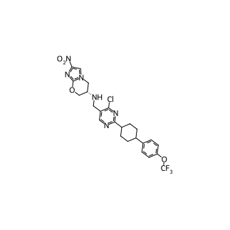 O=[N+]([O-])c1cn2c(n1)OC[C@@H](NCc1cnc(C3CCC(c4ccc(OC(F)(F)F)cc4)CC3)nc1Cl)C2